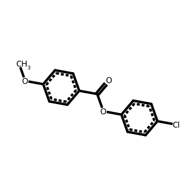 COc1ccc(C(=O)Oc2ccc(Cl)cc2)cc1